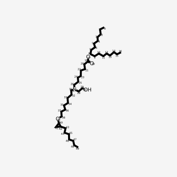 CCCCCCCCC(CCCCCCCC)OC(=O)CCCCCCCN(CCO)CCCCCCCCOC1CC1CCCCCCC